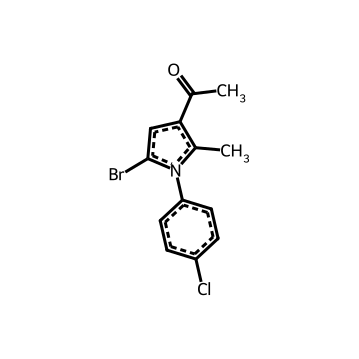 CC(=O)c1cc(Br)n(-c2ccc(Cl)cc2)c1C